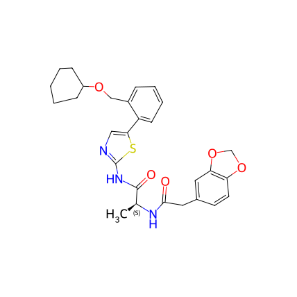 C[C@H](NC(=O)Cc1ccc2c(c1)OCO2)C(=O)Nc1ncc(-c2ccccc2COC2CCCCC2)s1